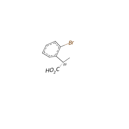 C[C@H](C(=O)O)c1ccccc1Br